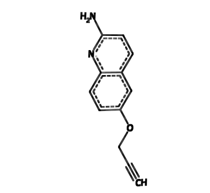 C#CCOc1ccc2nc(N)ccc2c1